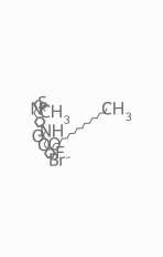 CCCCCCCCCCCCCCOc1c(F)cccc1OCC(=O)Nc1ccc(C[n+]2ccsc2C)cc1.[Br-]